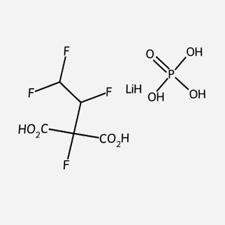 O=C(O)C(F)(C(=O)O)C(F)C(F)F.O=P(O)(O)O.[LiH]